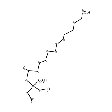 CC(C)CC(CC(C)C)(CC(CCCCCCCCCCCC(=O)O)C(C)C)C(=O)O